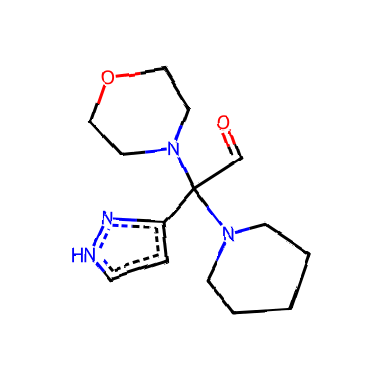 O=CC(c1cc[nH]n1)(N1CCCCC1)N1CCOCC1